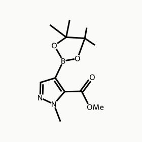 COC(=O)c1c(B2OC(C)(C)C(C)(C)O2)cnn1C